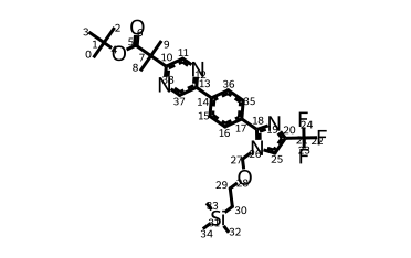 CC(C)(C)OC(=O)C(C)(C)c1cnc(-c2ccc(-c3nc(C(F)(F)F)cn3COCC[Si](C)(C)C)cc2)cn1